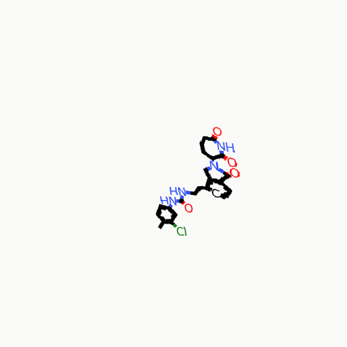 Cc1ccc(NC(=O)NCCc2cccc3c2CN([C@H]2CCCC(=O)NC2=O)C3=O)cc1Cl